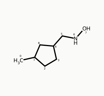 CC1CCC(CNO)C1